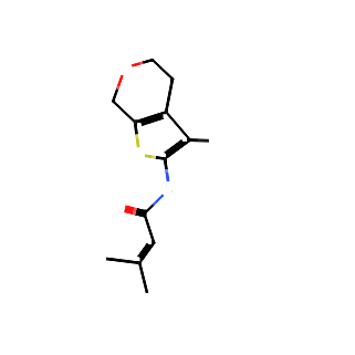 CCOC(=O)c1c(NC(=O)C=C(C)C)sc2c1CCOC2